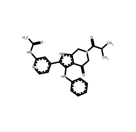 CC(=O)Nc1cc(-c2[nH]c3c(c2Nc2ccccc2)C(=O)CN(C(=O)C(C)C)C3)ccn1